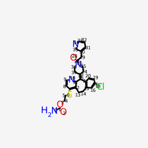 NC(=O)OCCSc1ccnc2c1CCc1cc(Cl)ccc1C2=C1CCN(C(=O)Cc2cccnc2)CC1